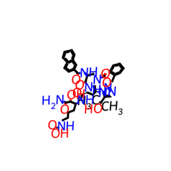 CC(C)(O)c1cnnn1[C@H]1C[C@@H](C(=O)NC(CCCCNC(=O)O)C(O)C(N)=O)N(C(=O)C(CNC(=O)OCc2ccccc2)NC(=O)c2ccc3ccccc3c2)C1